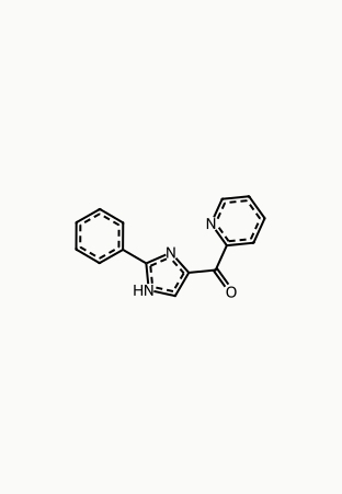 O=C(c1ccccn1)c1c[nH]c(-c2ccccc2)n1